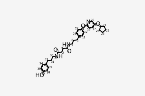 O=C(CCC(=O)NCCCc1ccc(Oc2ccc(OC3CCCC3)cn2)cc1)NCCCc1ccc(O)cc1